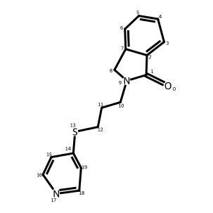 O=C1c2ccccc2CN1CCCSc1ccncc1